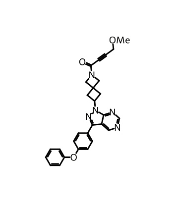 COCC#CC(=O)N1CC2(CC(n3nc(-c4ccc(Oc5ccccc5)cc4)c4cncnc43)C2)C1